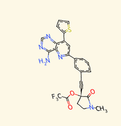 CN1CC[C@](C#Cc2cccc(-c3cc(-c4cccs4)c4ncnc(N)c4n3)c2)(OC(=O)C(F)(F)F)C1=O